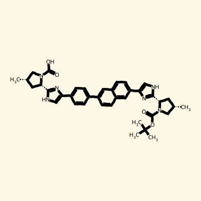 C[C@H]1C[C@@H](c2nc(-c3ccc(-c4ccc5cc(-c6c[nH]c([C@@H]7C[C@H](C)CN7C(=O)OC(C)(C)C)n6)ccc5c4)cc3)c[nH]2)N(C(=O)O)C1